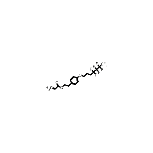 C=CC(=O)OCCc1ccc(OCCCC(F)(F)C(F)(F)C(F)(F)C(F)(F)F)cc1